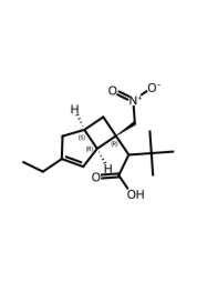 CCC1=C[C@H]2[C@@H](C1)C[C@]2(C[N+](=O)[O-])C(C(=O)O)C(C)(C)C